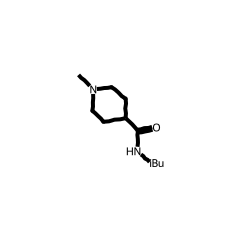 CCC(C)NC(=O)C1CCN(C)CC1